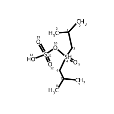 CC(C)C[SH](=O)(CC(C)C)OS(=O)(=O)O